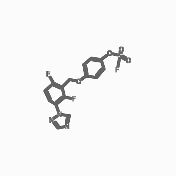 O=S(=O)(F)Oc1ccc(OCc2c(F)ccc(-n3cncn3)c2F)cc1